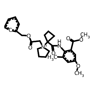 COC(=O)c1cc(OC)cc(C)c1NC(=O)C1([N+]2(CC(=O)OCc3ccccc3)CCCC2)CCC1